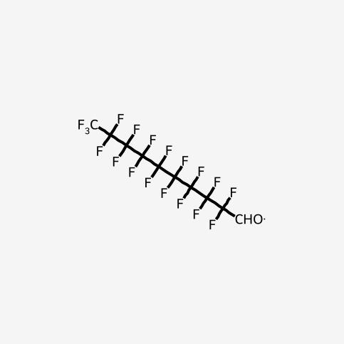 O=[C]C(F)(F)C(F)(F)C(F)(F)C(F)(F)C(F)(F)C(F)(F)C(F)(F)C(F)(F)C(F)(F)F